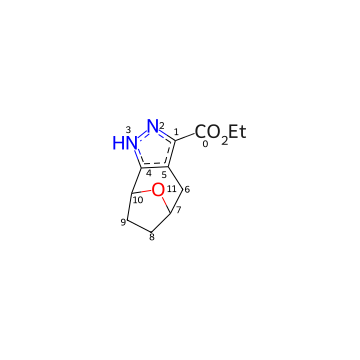 CCOC(=O)c1n[nH]c2c1CC1CCC2O1